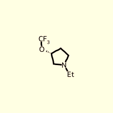 CCN1CC[C@@H](OC(F)(F)F)C1